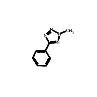 Cn1nnc(-c2ccccc2)n1